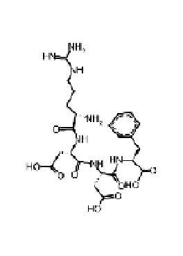 N=C(N)NCCC[C@H](N)C(=O)N[C@@H](CC(=O)O)C(=O)N[C@@H](CC(=O)O)C(=O)N[C@@H](Cc1ccccc1)C(=O)O